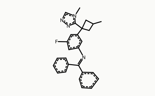 CC1CC(c2cc(F)cc(N=C(c3ccccc3)c3ccccc3)c2)(c2nncn2C)C1